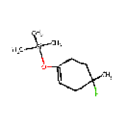 CC1(F)CC=C(O[Si](C)(C)C)CC1